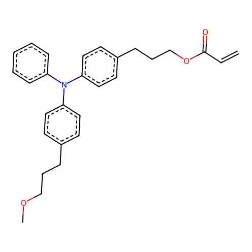 C=CC(=O)OCCCc1ccc(N(c2ccccc2)c2ccc(CCCOC)cc2)cc1